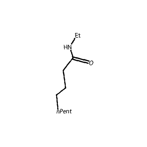 [CH2]CCCCCCCC(=O)NCC